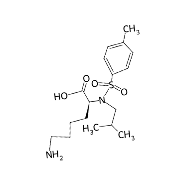 Cc1ccc(S(=O)(=O)N(CC(C)C)[C@@H](CCCCN)C(=O)O)cc1